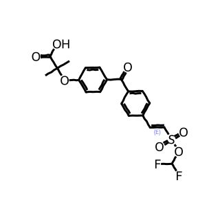 CC(C)(Oc1ccc(C(=O)c2ccc(/C=C/S(=O)(=O)OC(F)F)cc2)cc1)C(=O)O